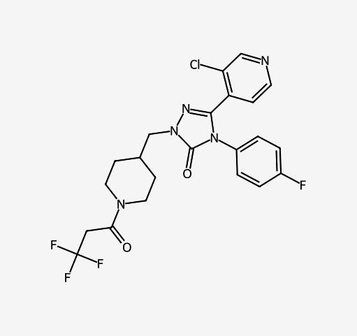 O=C(CC(F)(F)F)N1CCC(Cn2nc(-c3ccncc3Cl)n(-c3ccc(F)cc3)c2=O)CC1